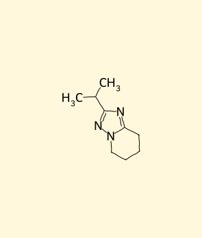 CC(C)c1nc2n(n1)CCCC2